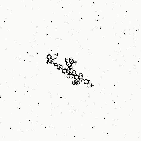 CCOC[C@@H](NC1CC2(CCN(c3ccc(C(=O)NS(=O)(=O)c4cc5c(c([N+](=O)[O-])c4)S[C@@H]([C@H]4CC[C@](C)(O)CC4)CO5)c(Oc4cnc5[nH]cc(F)c5c4)c3)CC2)C1)c1ccccc1C(C)C